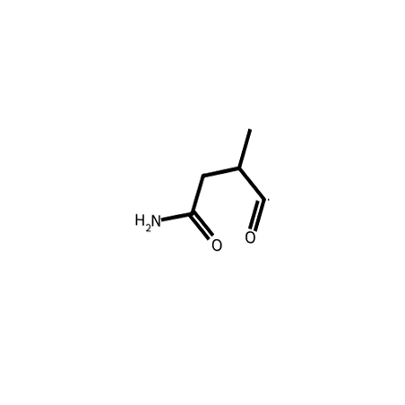 CC([C]=O)CC(N)=O